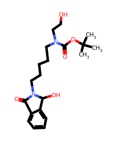 CC(C)(C)OC(=O)N(CCO)CCCCCN1C(=O)c2ccccc2C1O